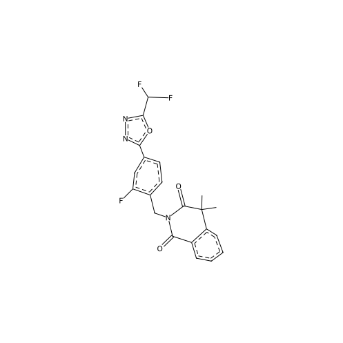 CC1(C)C(=O)N(Cc2ccc(-c3nnc(C(F)F)o3)cc2F)C(=O)c2ccccc21